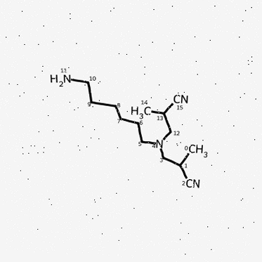 CC(C#N)CN(CCCCCCN)CC(C)C#N